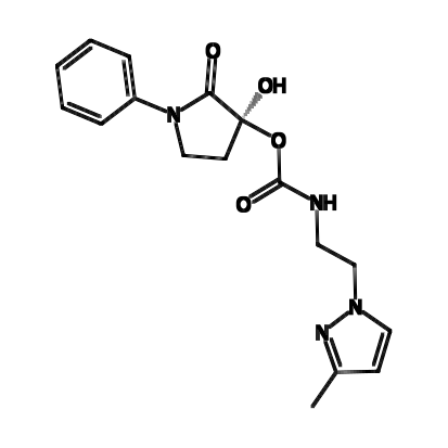 Cc1ccn(CCNC(=O)O[C@@]2(O)CCN(c3ccccc3)C2=O)n1